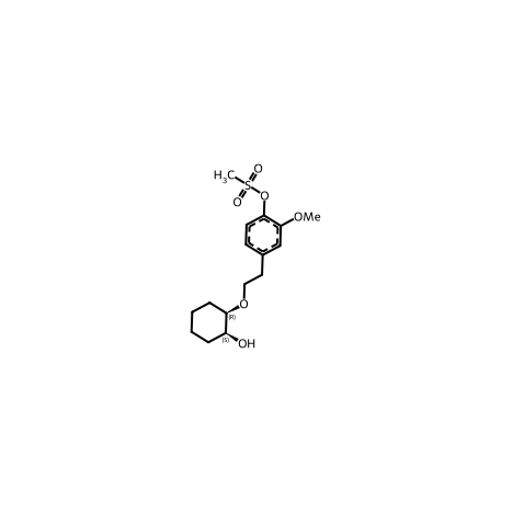 COc1cc(CCO[C@@H]2CCCC[C@@H]2O)ccc1OS(C)(=O)=O